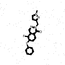 Cn1ccc(Cn2ncc3c(F)c(Sc4ccccc4)ccc3c2=O)n1